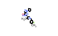 Cc1ccc(CN2C[C@@H](C)[C@H](c3nc4c(cnn4C4CCCC4)c(=O)[nH]3)C2)cc1F